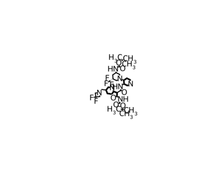 CC(C)(C)OC(=O)Nc1oc2cc(CN3CC(F)(F)C3)cnc2c1C(=O)Nc1cnccc1N1CC(NC(=O)OC(C)(C)C)C[C@@H](C(F)(F)F)C1